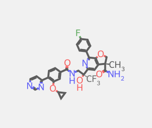 C[C@]1(C(N)=O)COc2c1cc([C@@](O)(CNC(=O)c1ccc(-c3ccncn3)c(OC3CC3)c1)C(F)(F)F)nc2-c1ccc(F)cc1